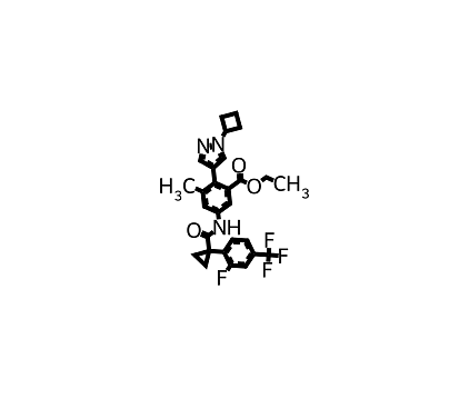 CCOC(=O)c1cc(NC(=O)C2(c3ccc(C(F)(F)F)cc3F)CC2)cc(C)c1-c1cnn(C2CCC2)c1